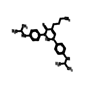 CCCCC1=CN(c2ccc(NC(C)C)cc2)NN(c2ccc(NC(C)C)cc2)C1=S